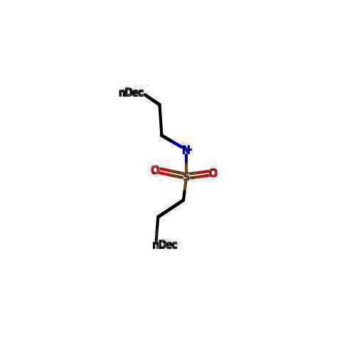 CCCCCCCCCCCC[N]S(=O)(=O)CCCCCCCCCCCC